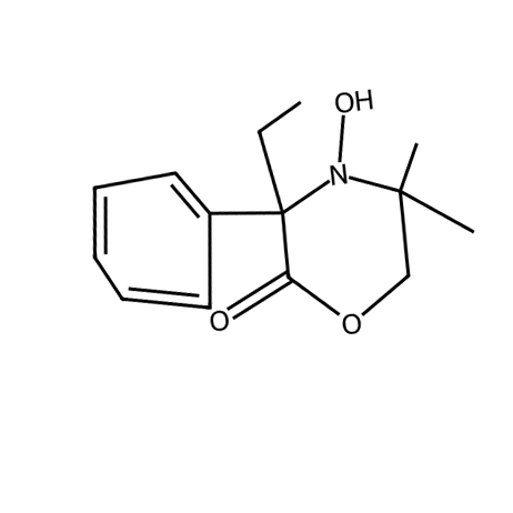 CCC1(c2ccccc2)C(=O)OCC(C)(C)N1O